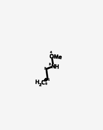 C=CCNOC